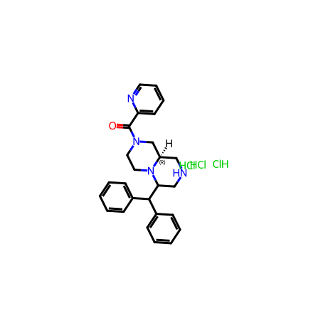 Cl.Cl.Cl.O=C(c1ccccn1)N1CCN2C(C(c3ccccc3)c3ccccc3)CNC[C@@H]2C1